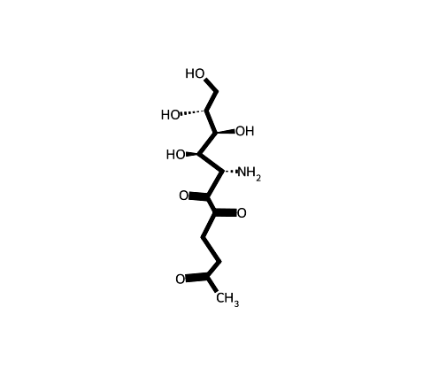 CC(=O)CCC(=O)C(=O)[C@@H](N)[C@@H](O)[C@H](O)[C@H](O)CO